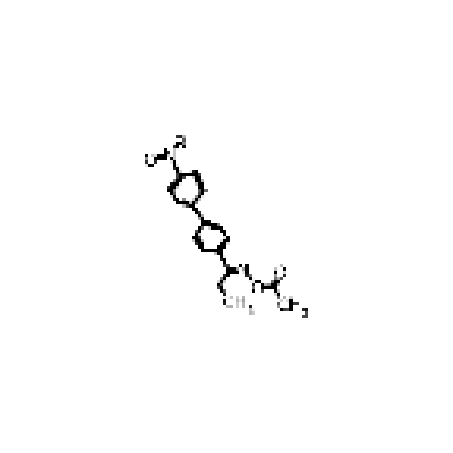 CCC(=NOC(C)=O)c1ccc(-c2ccc([N+](=O)[O-])cc2)cc1